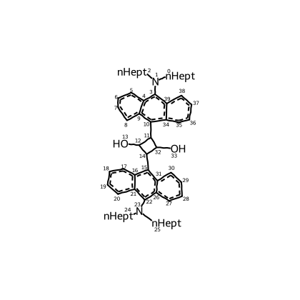 CCCCCCCN(CCCCCCC)c1c2ccccc2c(C2C(O)C(c3c4ccccc4c(N(CCCCCCC)CCCCCCC)c4ccccc34)C2O)c2ccccc12